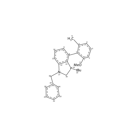 COc1cccc(C)c1-c1cccc2c1P(C(C)(C)C)CN2Cc1ccccc1